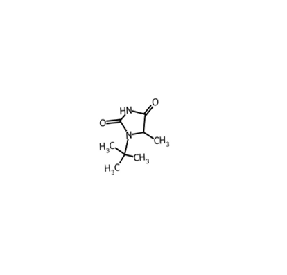 CC1C(=O)NC(=O)N1C(C)(C)C